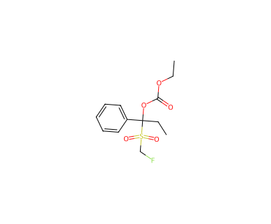 CCOC(=O)OC(CC)(c1ccccc1)S(=O)(=O)CF